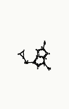 On1nc(NC2CC2)c2cc(Cl)sc21